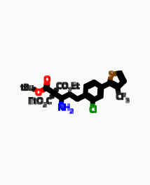 CCOC(=O)C(C(=O)OCC)(C(=O)OC(C)(C)C)C(N)CCc1ccc(-c2sccc2C(F)(F)F)cc1Cl